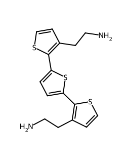 NCCc1ccsc1-c1ccc(-c2sccc2CCN)s1